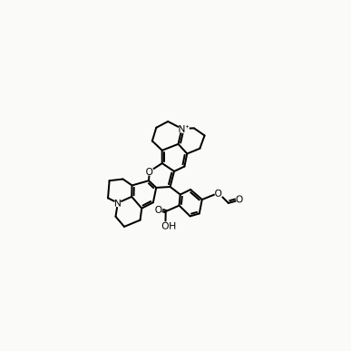 O=COc1ccc(C(=O)O)c(C2=c3cc4c5c(c3Oc3c2cc2c6c3CCCN6CCC2)CCC[N+]=5CCC4)c1